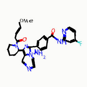 COCC=CC(=O)N1CCCCC1C1=C2C=NC=C[N+]2(N)C(c2ccc(C(=O)Nc3cc(F)ccn3)cc2)=N1